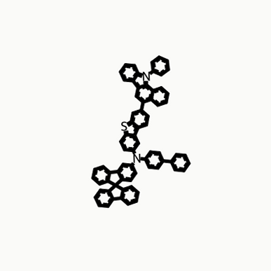 c1ccc(-c2ccc(N(c3ccc4c(c3)-c3ccccc3C43c4ccccc4-c4ccccc43)c3ccc4sc5cc(-c6cc7c8ccccc8n(-c8ccccc8)c7c7ccccc67)ccc5c4c3)cc2)cc1